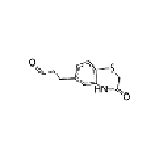 O=CCCc1ccc2c(c1)NC(=O)CS2